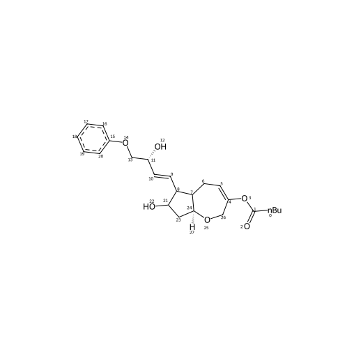 CCCCC(=O)OC1=CCC2C(C=C[C@@H](O)COc3ccccc3)C(O)C[C@@H]2OC1